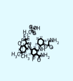 CC1(C)CC(=O)c2c(C(F)(F)F)nn(-c3cc(F)c(C(N)=O)c(N[C@H]4CCCC[C@@H]4OC(=O)CN)c3)c2C1.CS(=O)(=O)O